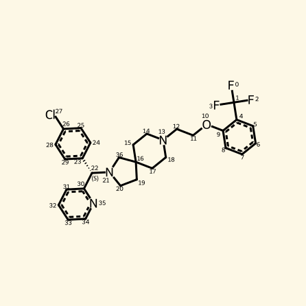 FC(F)(F)c1ccccc1OCCN1CCC2(CC1)CCN([C@@H](c1ccc(Cl)cc1)c1ccccn1)C2